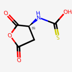 O=C1C[C@H](NC(O)=S)C(=O)O1